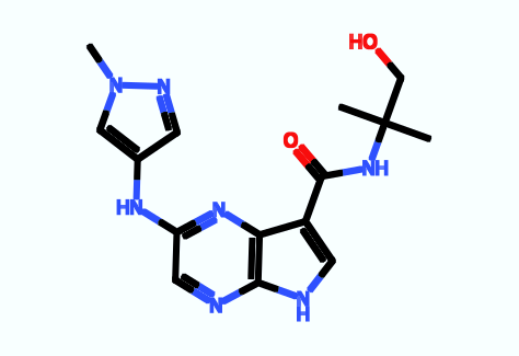 Cn1cc(Nc2cnc3[nH]cc(C(=O)NC(C)(C)CO)c3n2)cn1